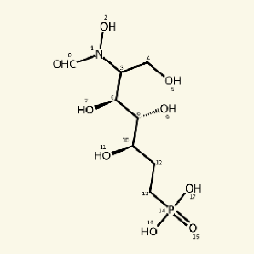 O=CN(O)C(CO)[C@H](O)[C@H](O)[C@H](O)CCP(=O)(O)O